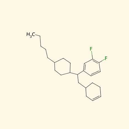 CCCCCC1CCC(C(CC2CC=CCC2)c2ccc(F)c(F)c2)CC1